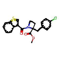 COC(=O)C1(Cc2ccc(Cl)cc2)CCN1C(=O)c1csc2ccccc12